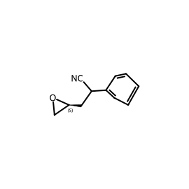 N#CC(C[C@H]1CO1)c1ccccc1